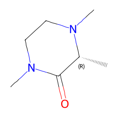 C[C@@H]1C(=O)N(C)CCN1C